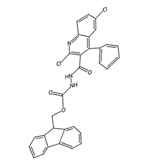 O=C(NNC(=O)c1c(Cl)nc2ccc(Cl)cc2c1-c1ccccc1)OCC1c2ccccc2-c2ccccc21